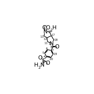 NS(=O)(=O)c1ccc(C(=O)N2CC3CN(C(=O)O)CC3C2)cc1